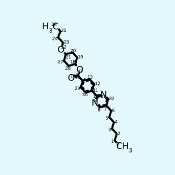 CCCCCCCc1cnc(-c2ccc(C(=O)OC3CCC(OCCCC)CC3)cc2)nc1